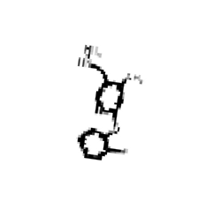 Cc1cc(Oc2ccccc2F)ncc1CNN